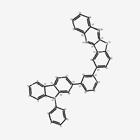 c1ccc(-n2c3ccccc3c3ccc(-c4cccc(-c5ccc6sc7nc8ccccc8nc7c6c5)c4)cc32)cc1